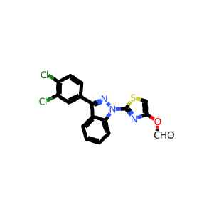 O=COc1csc(-n2nc(-c3ccc(Cl)c(Cl)c3)c3ccccc32)n1